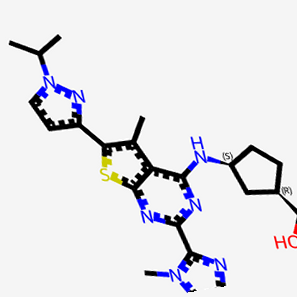 Cc1c(-c2ccn(C(C)C)n2)sc2nc(-c3nccn3C)nc(N[C@H]3CC[C@@H](CO)C3)c12